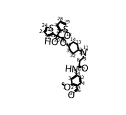 COc1cc(NC(=O)CCN(C)C2CCC(OC(=O)C(O)(c3cccs3)c3cccs3)CC2)ccc1C=O